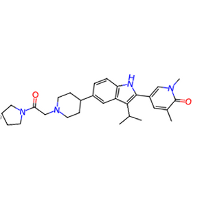 Cc1cc(-c2[nH]c3ccc(C4CCN(CC(=O)N5CC[C@H](O)C5)CC4)cc3c2C(C)C)cn(C)c1=O